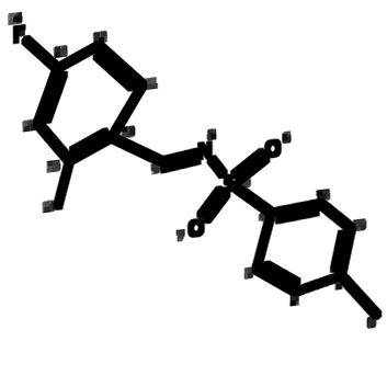 Cc1ccc(S(=O)(=O)N=Cc2ccc(F)cc2C)cc1